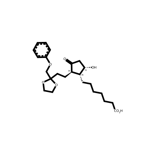 O=C(O)CCCCCC[C@H]1[C@@H](O)CC(=O)[C@@H]1CCC1(COc2ccccc2)OCCO1